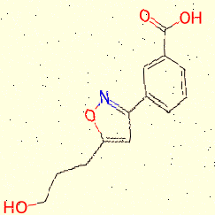 O=C(O)c1cccc(-c2cc(CCCO)on2)c1